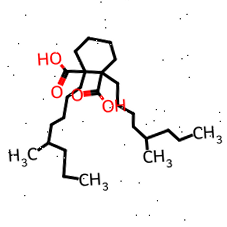 CCCC(C)CCCCC1(C(=O)O)CCCCC1(CCCCC(C)CCC)C(=O)O